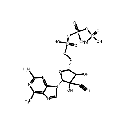 C#C[C@@]1(O)[C@H](O)[C@@H](COP(=O)(O)OP(=O)(O)OP(=O)(O)O)O[C@H]1n1cnc2c(N)nc(N)nc21